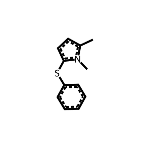 Cc1ccc(Sc2ccccc2)n1C